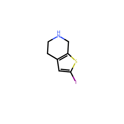 Ic1cc2c(s1)CNCC2